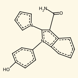 NC(=O)c1c(-n2cccc2)n(-c2ccc(O)cc2)c2ccccc12